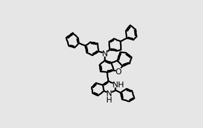 C1=CC2=C(c3ccc(N(C4=CCC(c5ccccc5)C=C4)c4ccc(-c5ccccc5)cc4)c4c3oc3ccccc34)NC(c3ccccc3)NC2C=C1